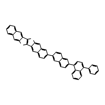 c1ccc(-c2ccc(-c3ccc4cc(-c5ccc6cc7c(cc6c5)sc5c6cc8ccccc8cc6sc75)ccc4c3)c3ccccc23)cc1